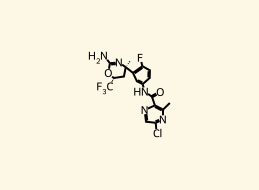 Cc1nc(Cl)cnc1C(=O)Nc1ccc(F)c([C@@]2(C)C[C@H](C(F)(F)F)OC(N)=N2)c1